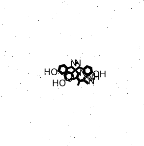 Cc1c(C2(c3ccc(O)cc3)C(c3ccc(O)cc3)=NN=C2c2ccc(O)cc2)nc2[nH]ncc2c1C